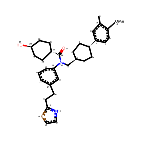 COc1ccc([C@H]2CC[C@H](CN(c3cccc(CCc4nccs4)c3)C(=O)[C@H]3CC[C@H](O)CC3)CC2)cc1C